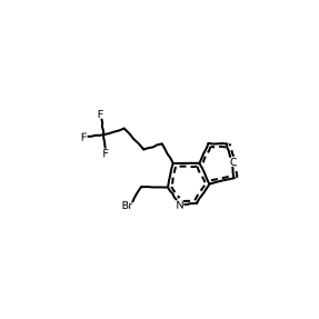 FC(F)(F)CCCc1c(CBr)ncc2ccccc12